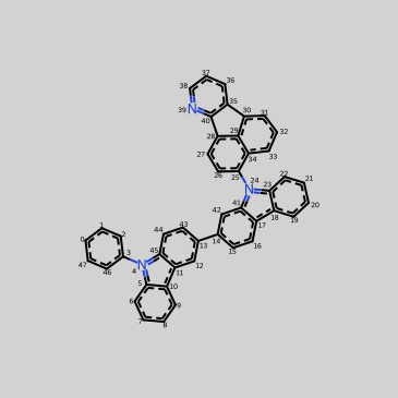 c1ccc(-n2c3ccccc3c3cc(-c4ccc5c6ccccc6n(-c6ccc7c8c(cccc68)-c6cccnc6-7)c5c4)ccc32)cc1